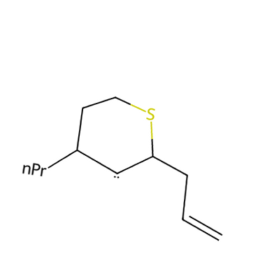 C=CCC1[C]C(CCC)CCS1